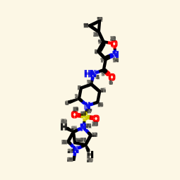 C[C@H]1C[C@@H](NC(=O)c2cc(C3CC3)on2)CCN1S(=O)(=O)N1C[C@H]2C[C@@H]1CN2C